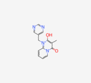 Cc1c(O)[n+](Cc2cncnc2)c2ccccn2c1=O